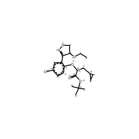 CCOC1CON=C1c1cc(Cl)ccc1O[C@@H](CC1CC1)C(=O)OC(C)(C)C